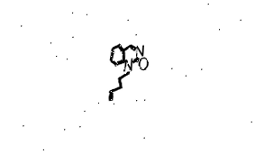 C=CCCCn1c(=O)ncc2ccccc21